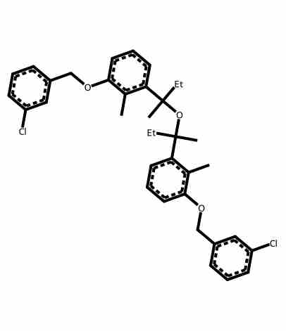 CCC(C)(OC(C)(CC)c1cccc(OCc2cccc(Cl)c2)c1C)c1cccc(OCc2cccc(Cl)c2)c1C